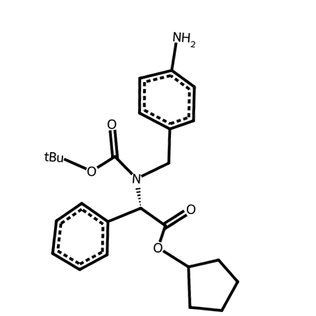 CC(C)(C)OC(=O)N(Cc1ccc(N)cc1)[C@H](C(=O)OC1CCCC1)c1ccccc1